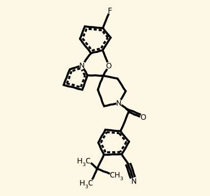 CC(C)(C)c1ccc(C(=O)N2CCC3(CC2)Oc2cc(F)ccc2-n2cccc23)cc1C#N